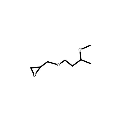 COC(C)CCOCC1CO1